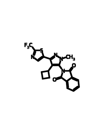 Cn1nc(-c2cnc(C(F)(F)F)s2)c(C2CCC2)c1N1C(=O)c2ccccc2C1=O